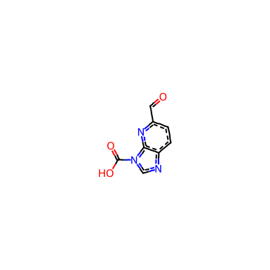 O=Cc1ccc2ncn(C(=O)O)c2n1